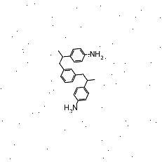 CC(Cc1cccc(CC(C)c2ccc(N)cc2)c1)c1ccc(N)cc1